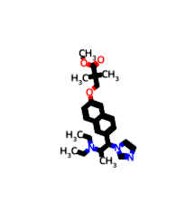 CCN(CC)C(C)C(c1ccc2cc(OCC(C)(C)C(=O)OC)ccc2c1)n1ccnc1